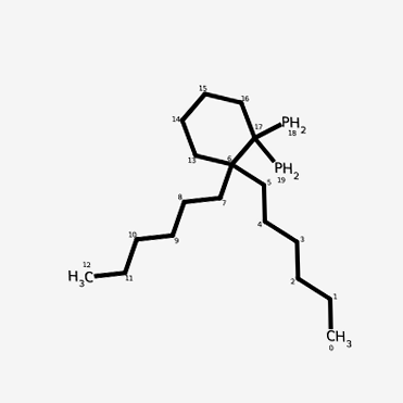 CCCCCCC1(CCCCCC)CCCCC1(P)P